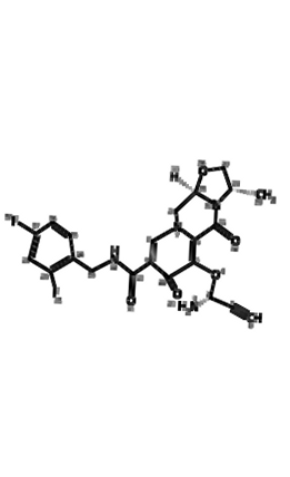 C#C[C@H](N)Oc1c2n(cc(C(=O)NCc3ccc(F)cc3F)c1=O)C[C@H]1OC[C@H](C)N1C2=O